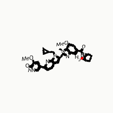 COc1cc(-c2ccc3cc(-c4nc5cc(C(=O)N6CC7CCC6[C@@H]7N)cc(OC)c5n4C)n(CC4CC4)c3n2)c[nH]c1=O